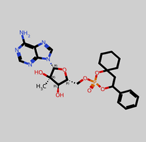 C[C@@]1(O)[C@H](O)[C@@H](COP2(=O)OC(c3ccccc3)CC3(CCCCC3)O2)O[C@H]1n1cnc2c(N)ncnc21